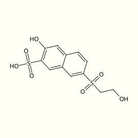 O=S(=O)(O)c1cc2cc(S(=O)(=O)CCO)ccc2cc1O